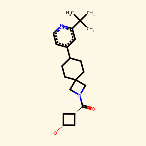 CC(C)(C)c1cc(C2CCC3(CC2)CN(C(=O)[C@H]2C[C@@H](O)C2)C3)ccn1